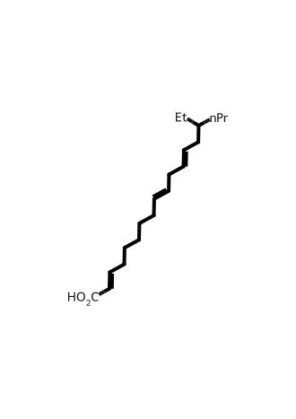 CCCC(CC)CC=CCC=CCCCCCC=CC(=O)O